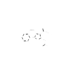 CC(=O)Nc1sc2c(c1C(N)=O)CCc1cccc(F)c1-2